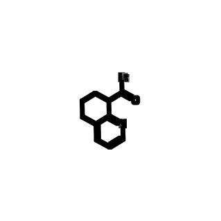 CCC(=O)C1CCCc2cccnc21